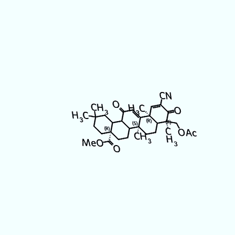 COC(=O)[C@@]12CCC3C(C(=O)C=C4[C@@]5(C)C=C(C#N)C(=O)[C@@](C)(COC(C)=O)C5CC[C@]43C)C1CC(C)(C)CC2